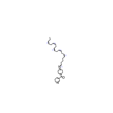 CC/C=C\C/C=C\C/C=C\C/C=C\C/C=C\CCC/C=N/N1CCN(C(=O)C2=CCCN=C2)CC1